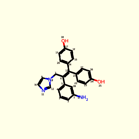 Nc1cccc(C(Cn2ccnc2)=C(c2ccc(O)cc2)c2ccc(O)cc2)c1